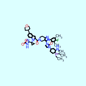 CCP(CC)c1ccc(-n2ccn(-c3c4c(nn3-c3cc(C)c(F)c(C)c3)CCN(C(=O)c3cc5cc(C6CCOCC6)ccc5n3C3(c5noc(=O)[nH]5)CC3)C4)c2=O)cc1NC